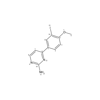 COc1ccc(-c2ccnc(N)n2)cc1I